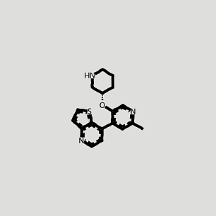 Cc1cc(-c2ccnc3ccsc23)c(O[C@H]2CCCNC2)cn1